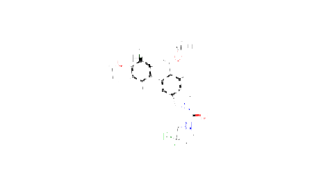 Cc1c(-c2c(C)c3c(c(C)c2[C@H](OC(C)(C)C)C(=O)O)CN(C(=O)N2CCC(F)(F)C2)C3)cc(F)c2c1CCCO2